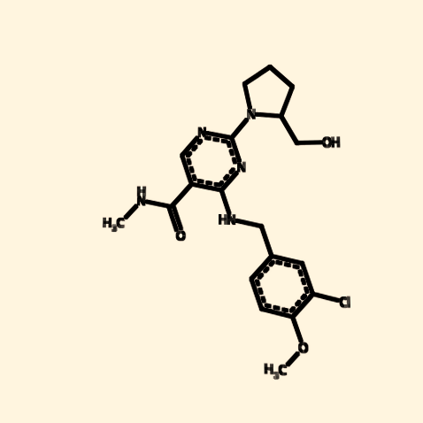 CNC(=O)c1cnc(N2CCCC2CO)nc1NCc1ccc(OC)c(Cl)c1